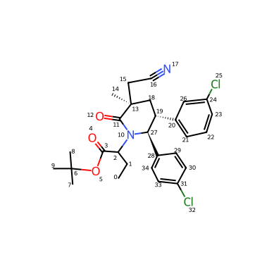 CCC(C(=O)OC(C)(C)C)N1C(=O)[C@@](C)(CC#N)C[C@H](c2cccc(Cl)c2)[C@H]1c1ccc(Cl)cc1